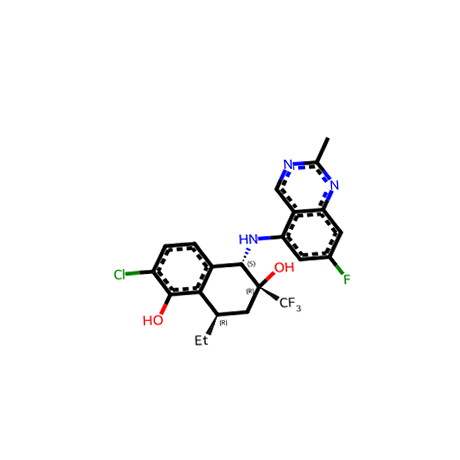 CC[C@@H]1C[C@](O)(C(F)(F)F)[C@@H](Nc2cc(F)cc3nc(C)ncc23)c2ccc(Cl)c(O)c21